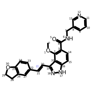 COc1c(C(=O)NCc2cccnc2)ccc2[nH]nc(/C=C/c3ccc4c(c3)CCO4)c12